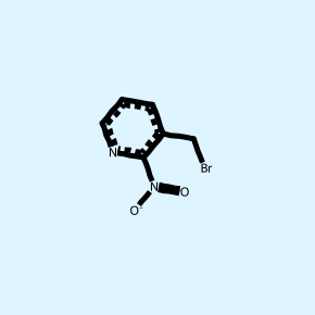 O=[N+]([O-])c1ncccc1CBr